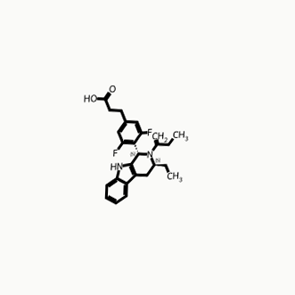 C=C(CC)N1[C@@H](CC)Cc2c([nH]c3ccccc23)[C@@H]1c1c(F)cc(CCC(=O)O)cc1F